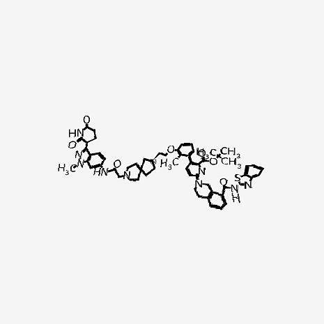 Cc1c(OCC[C@H]2CCC3(CCN(CC(=O)Nc4ccc5c(C6CCC(=O)NC6=O)nn(C)c5c4)CC3)C2)cccc1-c1ccc(N2CCc3cccc(C(=O)Nc4nc5ccccc5s4)c3C2)nc1C(=O)OC(C)(C)C